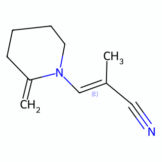 C=C1CCCCN1/C=C(\C)C#N